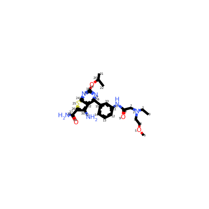 CCN(CCOC)CC(=O)Nc1cccc(-c2nc(OC(C)C)nc3sc(C(N)=O)c(N)c23)c1